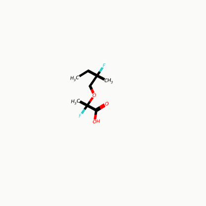 CCC(C)(F)COC(C)(F)C(=O)O